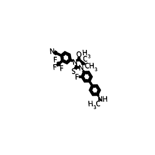 CNc1ccc(-c2ccc(N3C(=S)N(c4ccc(C#N)c(C(F)(F)F)c4)C(=O)C3(C)C)c(F)c2)cc1